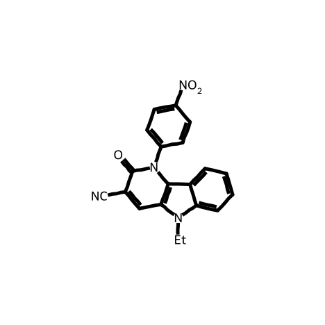 CCn1c2ccccc2c2c1cc(C#N)c(=O)n2-c1ccc([N+](=O)[O-])cc1